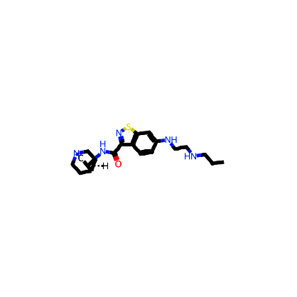 CCCNCCNc1ccc2c(C(=O)N[C@@H]3CN4CCC3CC4)nsc2c1